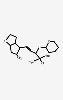 CCCCC(C)(C)C(/C=C/C1C(C)CC2OCCC21)OC1CCCCO1